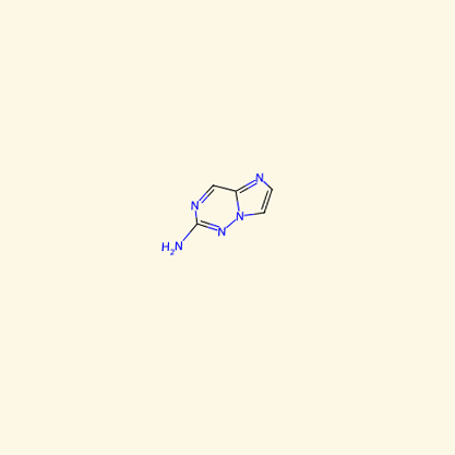 Nc1ncc2nccn2n1